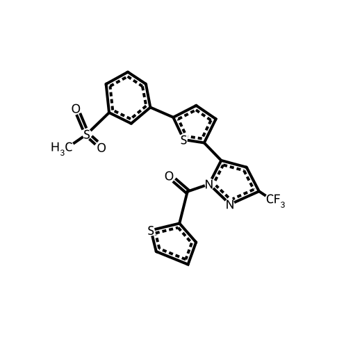 CS(=O)(=O)c1cccc(-c2ccc(-c3cc(C(F)(F)F)nn3C(=O)c3cccs3)s2)c1